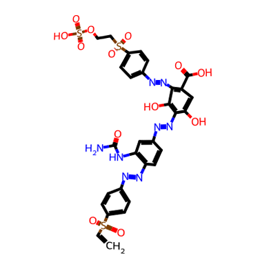 C=CS(=O)(=O)c1ccc(N=Nc2ccc(N=Nc3c(O)cc(C(=O)O)c(N=Nc4ccc(S(=O)(=O)CCOS(=O)(=O)O)cc4)c3O)cc2NC(N)=O)cc1